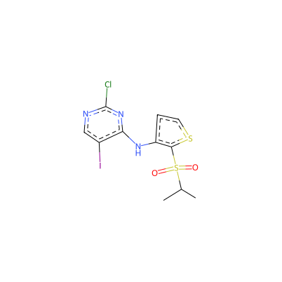 CC(C)S(=O)(=O)c1sccc1Nc1nc(Cl)ncc1I